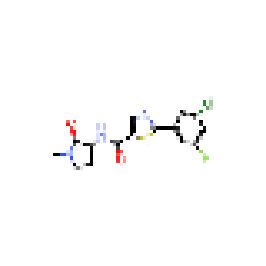 CN1CCC(NC(=O)c2cnc(-c3cc(F)cc(Cl)c3)s2)C1=O